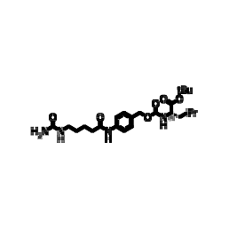 CC(C)C[C@H](NC(=O)OCc1ccc(NC(=O)CCCCNC(N)=O)cc1)C(=O)OC(C)(C)C